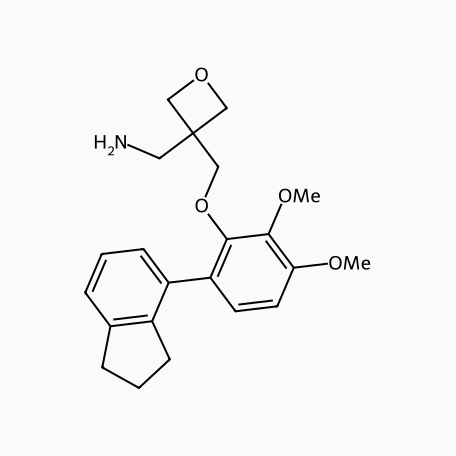 COc1ccc(-c2cccc3c2CCC3)c(OCC2(CN)COC2)c1OC